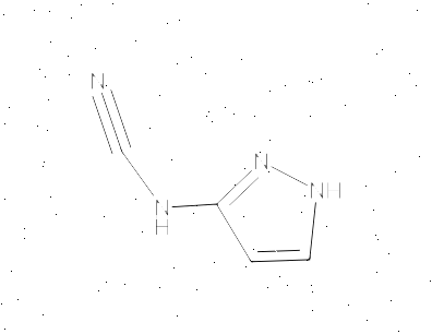 N#CNc1cc[nH]n1